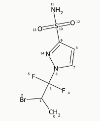 CC(Br)C(F)(F)n1ccc(S(N)(=O)=O)n1